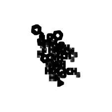 CCC[C@H](NC(=O)C1[C@H]2CCC(F)(F)C2CN1C(=O)C(NC(=O)C(NC(=O)c1nccn1Cc1ccccc1)C1CCCCC1)C(C)(C)C)C(O)C(=O)NC1CC1